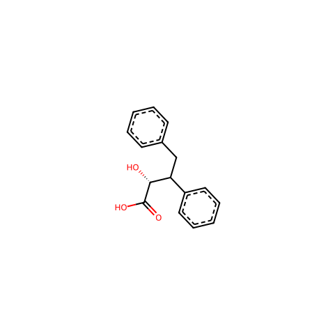 O=C(O)[C@H](O)C(Cc1ccccc1)c1ccccc1